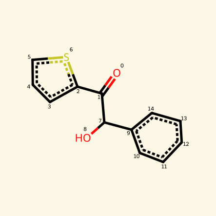 O=C(c1cccs1)C(O)c1ccccc1